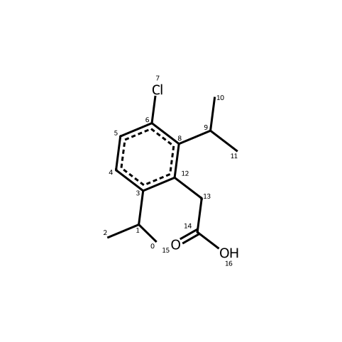 CC(C)c1ccc(Cl)c(C(C)C)c1CC(=O)O